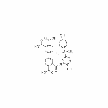 CC(C)(c1ccc(O)cc1)c1ccc(O)cc1.O=C(O)c1ccc(-c2ccc(C(=O)O)c(C(=O)O)c2)cc1C(=O)O